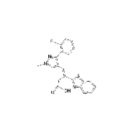 Cn1cc(/C=C(\CC(=O)O)c2nc3ccccc3s2)c(-c2ccccc2F)n1